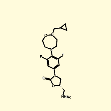 CC(=O)NC[C@H]1CN(c2cc(F)c(N3CCON(CC4CC4)CC3)c(F)c2)C(=O)O1